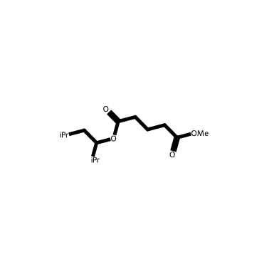 COC(=O)CCCC(=O)OC(CC(C)C)C(C)C